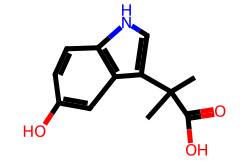 CC(C)(C(=O)O)c1c[nH]c2ccc(O)cc12